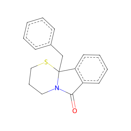 O=C1c2ccccc2C2(Cc3ccccc3)SCCCN12